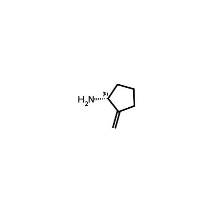 C=C1CCC[C@H]1N